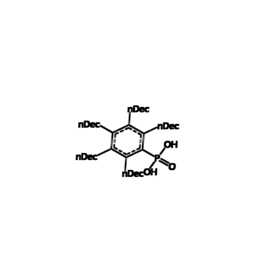 CCCCCCCCCCc1c(CCCCCCCCCC)c(CCCCCCCCCC)c(P(=O)(O)O)c(CCCCCCCCCC)c1CCCCCCCCCC